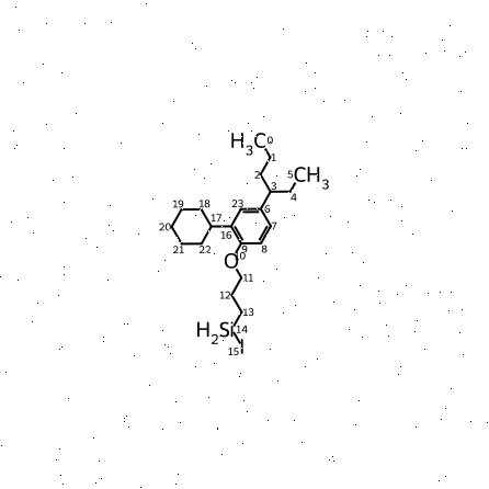 CCCC(CC)c1ccc(OCCC[SiH2]I)c(C2CCCCC2)c1